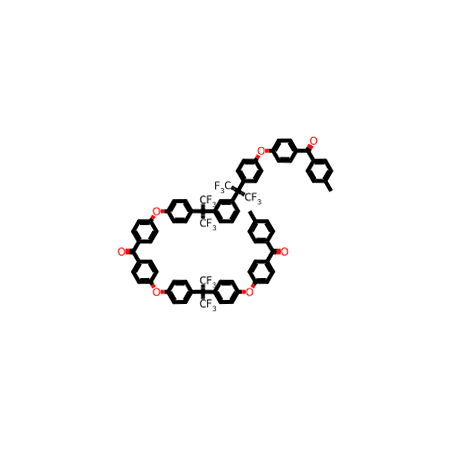 Cc1ccc(C(=O)c2ccc(Oc3ccc(C(c4ccc(Oc5ccc(C(=O)c6ccc(Oc7ccc(C(c8cccc(C(c9ccc(Oc%10ccc(C(=O)c%11ccc(C)cc%11)cc%10)cc9)(C(F)(F)F)C(F)(F)F)c8)(C(F)(F)F)C(F)(F)F)cc7)cc6)cc5)cc4)(C(F)(F)F)C(F)(F)F)cc3)cc2)cc1